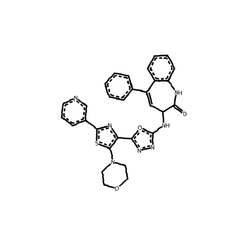 O=C1Nc2ccccc2C(c2ccccc2)=CC1Nc1nnc(-c2nc(-c3cccnc3)sc2N2CCOCC2)o1